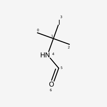 CC(C)(I)NC=O